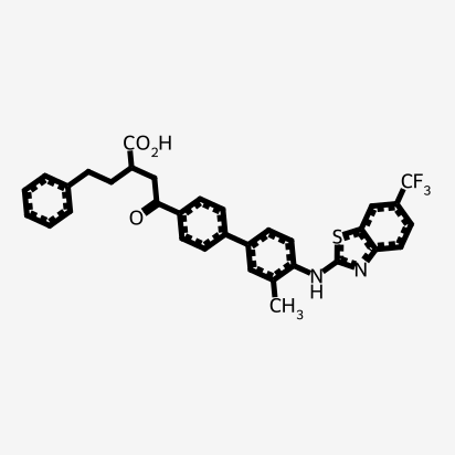 Cc1cc(-c2ccc(C(=O)CC(CCc3ccccc3)C(=O)O)cc2)ccc1Nc1nc2ccc(C(F)(F)F)cc2s1